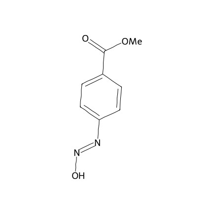 COC(=O)c1ccc(N=NO)cc1